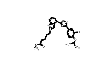 COC(=O)CCCCn1cc2c(-c3noc(-c4ccc(OC(C)C)c(Cl)c4)n3)cccc2n1